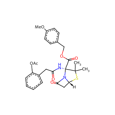 COc1ccc(COC(=O)[C@]2(NC(=O)Cc3ccccc3OC(C)=O)N3C(=O)C[C@H]3SC2(C)C)cc1